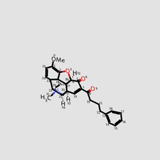 COC1=C2O[C@H]3C(=O)C(C(=O)CCCc4ccccc4)=C[C@H]4[C@H]5CC(C=C1)C2[C@@]34CCN5C